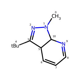 CN1N=C(C(C)(C)C)C2C=CC=NC21